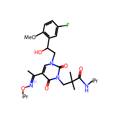 COc1ccc(F)cc1C(O)Cn1cc(/C(C)=N/OC(C)C)c(=O)n(CC(C)(C)C(=O)NC(C)C)c1=O